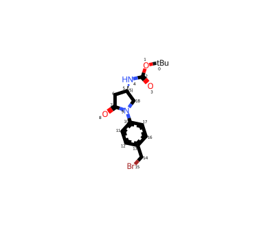 CC(C)(C)OC(=O)N[C@H]1CC(=O)N(c2ccc(CBr)cc2)C1